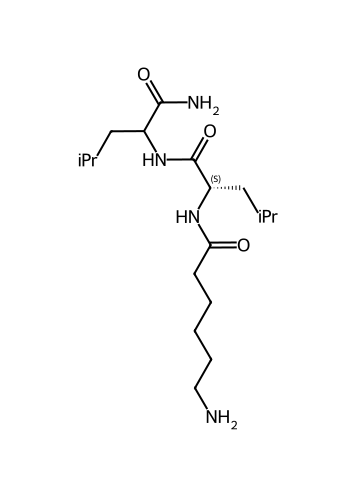 CC(C)CC(NC(=O)[C@H](CC(C)C)NC(=O)CCCCCN)C(N)=O